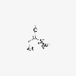 CCCC(=O)[S-].[Au+]